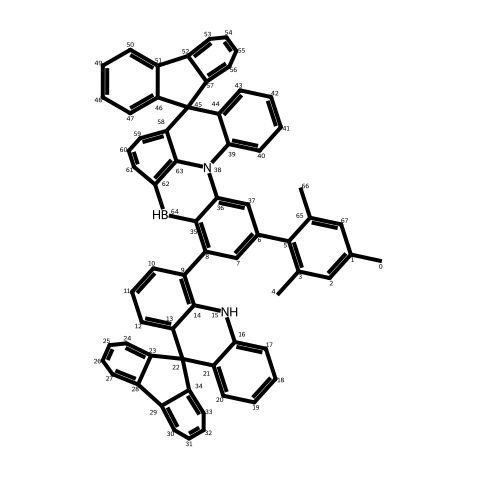 Cc1cc(C)c(-c2cc(-c3cccc4c3Nc3ccccc3C43c4ccccc4-c4ccccc43)c3c(c2)N2c4ccccc4C4(c5ccccc5-c5ccccc54)c4cccc(c42)B3)c(C)c1